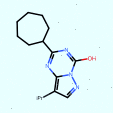 CC(C)c1cnn2c(O)nc(C3CCCCCC3)nc12